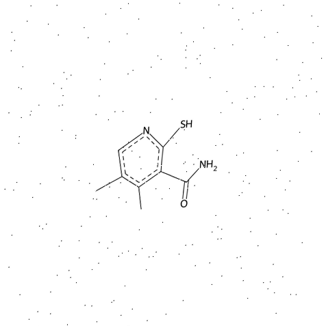 Cc1cnc(S)c(C(N)=O)c1C